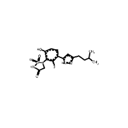 CC(C)CCc1cc(-c2ccc(O)c(N3CC(=O)NS3(=O)=O)c2F)[nH]n1